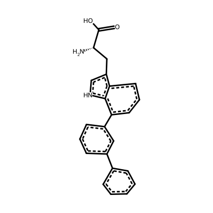 N[C@@H](Cc1c[nH]c2c(-c3cccc(-c4ccccc4)c3)cccc12)C(=O)O